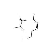 CC(C)C(=O)O.CC/C=C\CCO